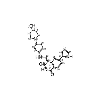 CN1CCN(c2ccc(NC=C3C(=O)NC(=O)c4ccc(-c5ccc[nH]5)cc43)cc2)CC1